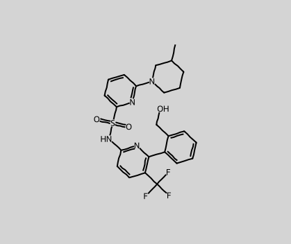 CC1CCCN(c2cccc(S(=O)(=O)Nc3ccc(C(F)(F)F)c(-c4ccccc4CO)n3)n2)C1